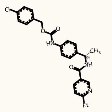 CCc1ccc(C(=O)N[C@@H](C)c2ccc(NC(=O)OCc3ccc(Cl)cc3)cc2)cn1